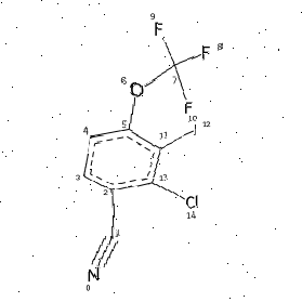 N#Cc1ccc(OC(F)(F)F)c(I)c1Cl